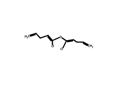 C=CC/C=C(\Cl)O/C(Cl)=C/CC=C